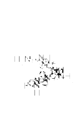 NCCCC[C@H](N)C(=O)O[C@H]1CC[C@H](Nc2cc(-n3c4ccccc4c4c(-c5nc6ccc(F)cc6[nH]5)cccc43)ccc2C(N)=O)CC1